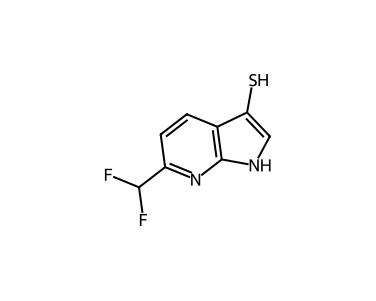 FC(F)c1ccc2c(S)c[nH]c2n1